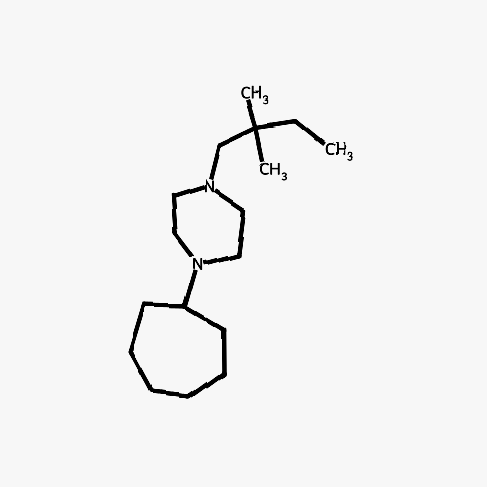 CCC(C)(C)CN1CCN(C2CCCCCC2)CC1